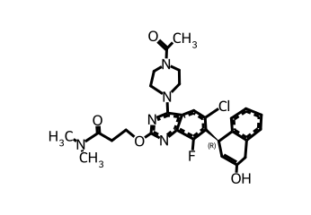 CC(=O)N1CCN(c2nc(OCCC(=O)N(C)C)nc3c(F)c([C@@H]4C=C(O)Cc5ccccc54)c(Cl)cc23)CC1